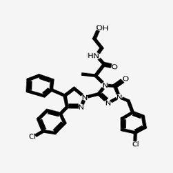 CC(C(=O)NCCO)n1c(N2CC(c3ccccc3)C(c3ccc(Cl)cc3)=N2)nn(Cc2ccc(Cl)cc2)c1=O